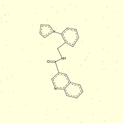 O=C(NCc1ccccc1-n1cccc1)c1cnc2ccccc2c1